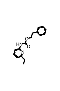 CCc1cccc(NC(=O)OCCc2ccccc2)n1